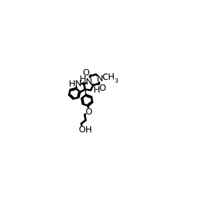 CN1CC(=O)N2[C@H]3Nc4ccccc4[C@@]3(c3ccc(OCCCO)cc3)C[C@H]2C1=O